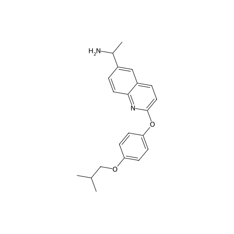 CC(C)COc1ccc(Oc2ccc3cc(C(C)N)ccc3n2)cc1